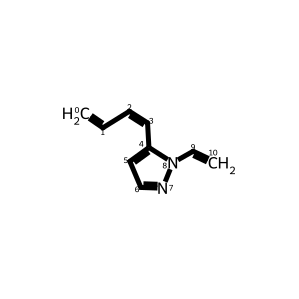 C=C/C=C\c1ccnn1C=C